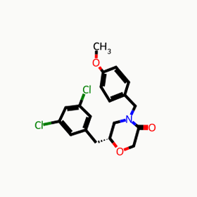 COc1ccc(CN2C[C@@H](Cc3cc(Cl)cc(Cl)c3)OCC2=O)cc1